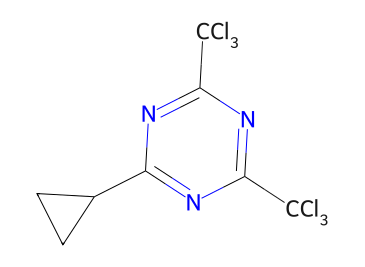 ClC(Cl)(Cl)c1nc(C2CC2)nc(C(Cl)(Cl)Cl)n1